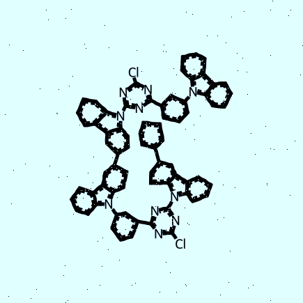 Clc1nc(-c2cccc(-n3c4ccccc4c4ccccc43)c2)nc(-n2c3ccccc3c3cc(-c4ccc5c(c4)c4ccccc4n5-c4cccc(-c5nc(Cl)nc(-n6c7ccccc7c7cc(-c8ccccc8)ccc76)n5)c4)ccc32)n1